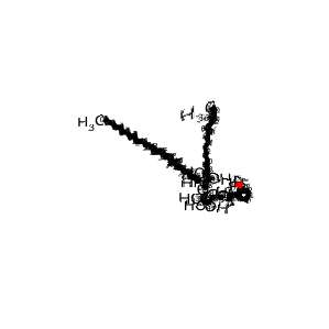 CCCCCCCCCCCCCCCCCCCCCCCCCCN[C@@H](CO[C@@H]1O[C@H](COC(=S)Nc2ccccc2C(F)(F)F)[C@H](O)[C@H](O)[C@H]1O)[C@H](O)[C@H](O)CCCCCCCCCCCCCC